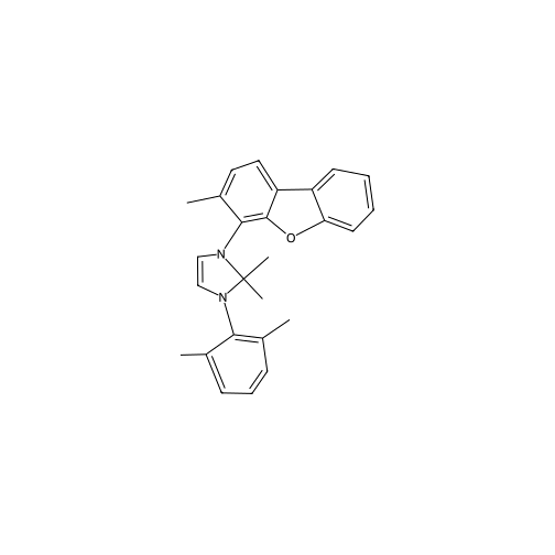 Cc1cccc(C)c1N1C=CN(c2c(C)ccc3c2oc2ccccc23)C1(C)C